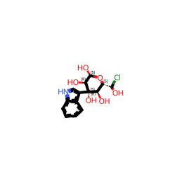 OC(Cl)[C@H]1O[C@H](O)[C@H](O)[C@](O)(c2c[nH]c3ccccc23)[C@@H]1O